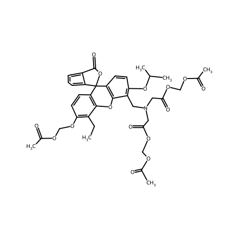 CCc1c(OCOC(C)=O)ccc2c1Oc1c(ccc(OC(C)C)c1CN(CC(=O)OCOC(C)=O)CC(=O)OCOC(C)=O)C21OC(=O)c2ccccc21